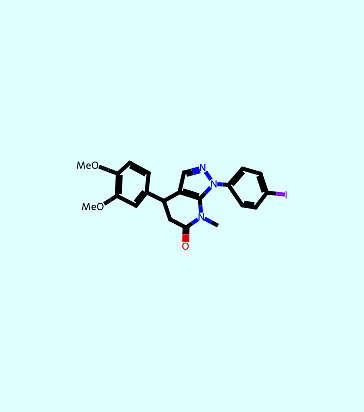 COc1ccc(C2CC(=O)N(C)c3c2cnn3-c2ccc(I)cc2)cc1OC